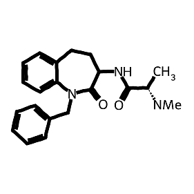 CN[C@@H](C)C(=O)NC1CCc2ccccc2N(Cc2ccccc2)C1=O